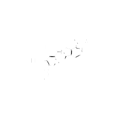 CC(=O)Nc1nccc2c1CN(C(C)c1cc(C)c(OCC(F)(F)F)cn1)C2=O